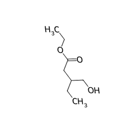 CCOC(=O)CC(CC)CO